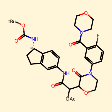 CC(=O)OC(C(=O)Nc1ccc2c(c1)CC[C@@H]2NC(=O)OC(C)(C)C)C1OCCN(c2ccc(F)c(C(=O)N3CCOCC3)c2)C1=O